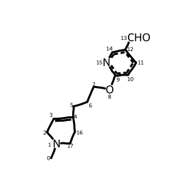 CN1CC=C(CCCOc2ccc(C=O)cn2)CC1